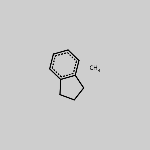 C.c1ccc2c(c1)CCC2